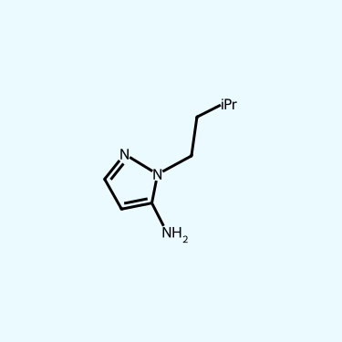 CC(C)CCn1nccc1N